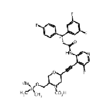 CC(C)(C)[Si](C)(C)OCC1COC(C#Cc2c(F)cncc2NC(=O)C[C@H](c2ccc(F)cc2)c2cc(F)cc(F)c2)CN1C(=O)O